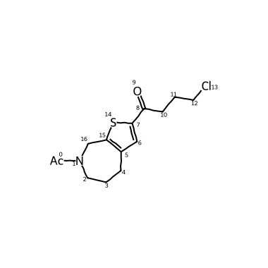 CC(=O)N1CCCc2cc(C(=O)CCCCl)sc2C1